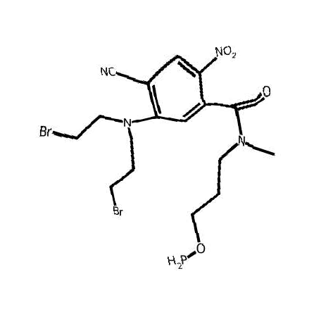 CN(CCCOP)C(=O)c1cc(N(CCBr)CCBr)c(C#N)cc1[N+](=O)[O-]